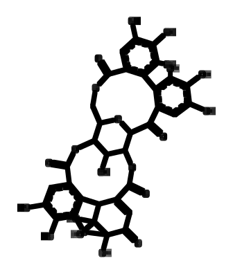 O=C1OC2C3OC(COC(=O)c4cc(O)c(O)c(O)c4-c4c(cc(O)c(O)c4O)C3=O)C(OC(=O)c3cc(O)c(O)c4c3C3C1=CC(=O)C(O)(O4)C3(O)O)C2O